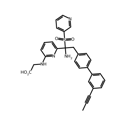 CC#Cc1cccc(-c2ccc(CC(N)(c3cccc(NCC(=O)O)n3)S(=O)(=O)c3cccnc3)cc2)c1